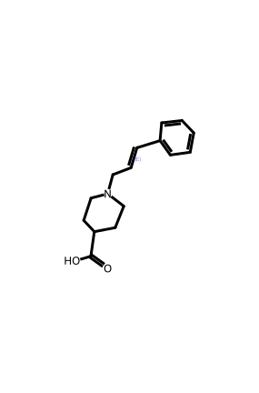 O=C(O)C1CCN(C/C=C/c2ccccc2)CC1